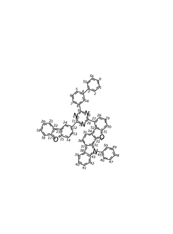 c1ccc(-c2cccc(-c3nc(-c4ccc5oc6ccccc6c5c4)nc(-c4cccc5oc6c(ccc7c8ccccc8n(-c8ccccc8)c76)c45)n3)c2)cc1